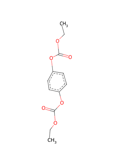 CCOC(=O)Oc1ccc(OC(=O)OCC)cc1